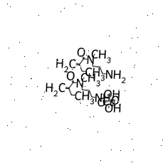 C=C(CC)C(=O)N(C)CCCN.C=C(CC)C(=O)N(C)CCCN.[O]=[Cr](=[O])([OH])[OH]